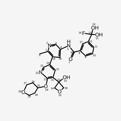 Cc1ncc(NC(=O)c2cccc(C(O)(O)F)c2)cc1-c1cnc(OC2CCOCC2)c(C2(O)COC2)c1